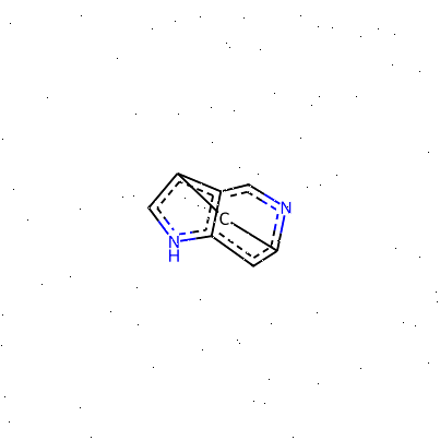 c1[nH]c2cc3ncc2c1C3